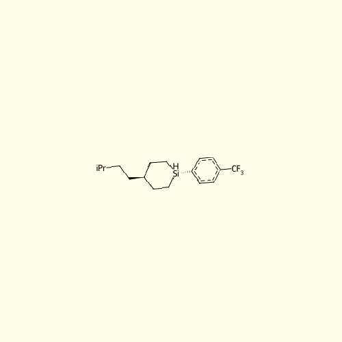 CC(C)CC[C@H]1CC[Si@H](c2ccc(C(F)(F)F)cc2)CC1